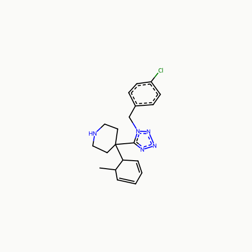 CC1C=CC=CC1C1(c2nnnn2Cc2ccc(Cl)cc2)CCNCC1